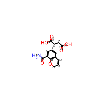 NC(=O)c1cccc2c1OCC=C2.O=C(O)CCC(=O)O